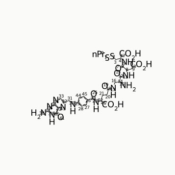 CCCSSCC(NC(=O)C(CC(=O)O)NC(=O)C(N)CNC(=O)CCC(NC(=O)c1ccc(NCc2cnc3nc(N)[nH]c(=O)c3n2)cc1)C(=O)O)C(=O)O